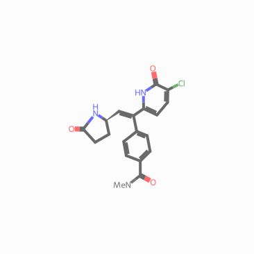 CNC(=O)c1ccc(/C(=C\[C@H]2CCC(=O)N2)c2ccc(Cl)c(=O)[nH]2)cc1